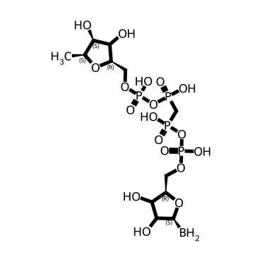 B[C@@H]1O[C@H](COP(=O)(O)OP(=O)(O)CP(=O)(O)OP(=O)(O)OC[C@H]2O[C@@H](C)[C@@H](O)C2O)C(O)C1O